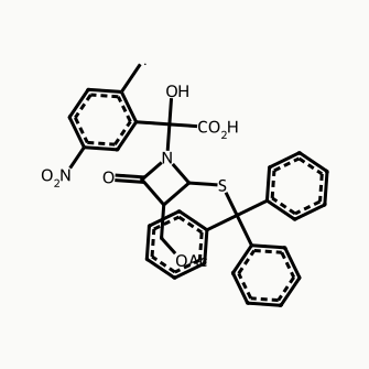 [CH2]c1ccc([N+](=O)[O-])cc1C(O)(C(=O)O)N1C(=O)C(COC(C)=O)C1SC(c1ccccc1)(c1ccccc1)c1ccccc1